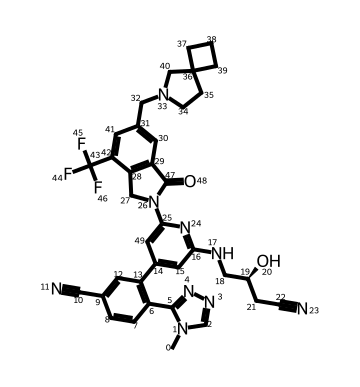 Cn1cnnc1-c1ccc(C#N)cc1-c1cc(NC[C@@H](O)CC#N)nc(N2Cc3c(cc(CN4CCC5(CCC5)C4)cc3C(F)(F)F)C2=O)c1